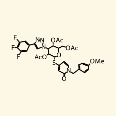 COc1ccc(Cn2ccc(S[C@H]3OC(COC(C)=O)[C@H](OC(C)=O)C(n4cc(-c5cc(F)c(F)c(F)c5)nn4)C3OC(C)=O)cc2=O)cc1